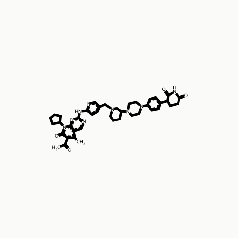 CC(=O)c1c(C)c2cnc(Nc3ccc(CN4CCCC(N5CCN(c6ccc(C7CCC(=O)NC7=O)cc6)CC5)C4)cn3)nc2n(C2CCCC2)c1=O